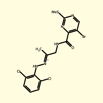 CSc1ncc(Br)c(C(=O)NC/C(C)=N/Nc2c(Cl)cccc2Cl)n1